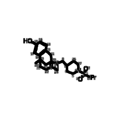 CC(C)S(=O)(=O)N1CCC(CNC23Cc4ccc(O)cc4C(C)(CCN2C)C3)CC1